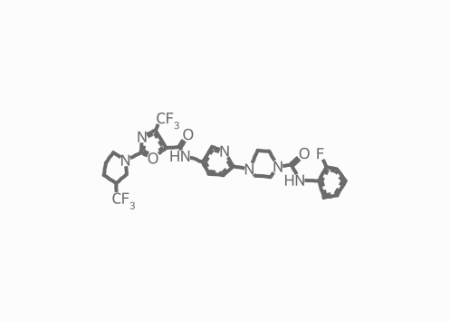 O=C(Nc1ccc(N2CCN(C(=O)Nc3ccccc3F)CC2)nc1)c1oc(N2CCCC(C(F)(F)F)C2)nc1C(F)(F)F